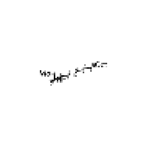 CCCCCCCCCCCCCCCCNC(=S)[S][Mo]